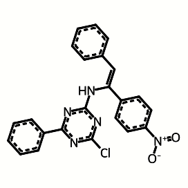 O=[N+]([O-])c1ccc(C(=Cc2ccccc2)Nc2nc(Cl)nc(-c3ccccc3)n2)cc1